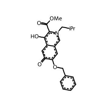 COC(=O)c1c(O)c2cc(=O)c(OCc3ccccc3)cc-2cn1CC(C)C